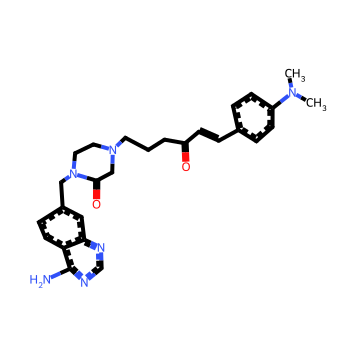 CN(C)c1ccc(C=CC(=O)CCCN2CCN(Cc3ccc4c(N)ncnc4c3)C(=O)C2)cc1